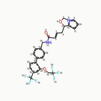 O=C(C=CCC1OCn2cccc21)NCc1ccc(-c2ccc(C(F)(F)F)cc2OCC(F)(F)F)cc1